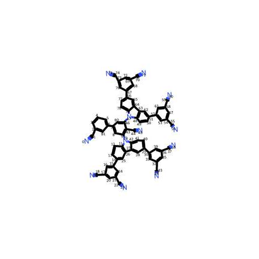 N#Cc1cccc(-c2cc(-n3c4ccc(-c5cc(C#N)cc(C#N)c5)cc4c4cc(-c5cc(C#N)cc(C#N)c5)ccc43)c(C#N)c(-n3c4ccc(-c5cc(C#N)cc(C#N)c5)cc4c4cc(-c5cc(C#N)cc(C#N)c5)ccc43)c2)c1